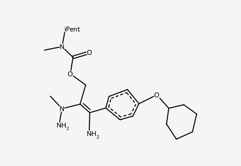 CCCC(C)N(C)C(=O)OC/C(=C(/N)c1ccc(OC2CCCCC2)cc1)N(C)N